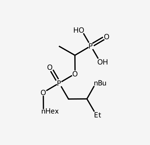 CCCCCCOP(=O)(CC(CC)CCCC)OC(C)P(=O)(O)O